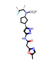 Cc1cnc(CC(=O)Nc2cc([C@H]3CC[C@@H](N(C(=O)O)[C@@H](C)[C@@H](C)F)C3)[nH]n2)o1